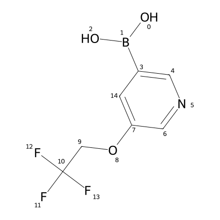 OB(O)c1cncc(OCC(F)(F)F)c1